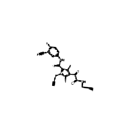 C#CCNC(=O)C(=O)c1c(C)c(C(=O)Nc2ccc(F)c(C#N)c2)n(CC#C)c1C